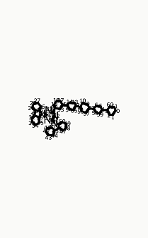 c1ccc(-c2ccc(-c3ccc(-c4ccc(-c5cccc(-c6nc(-n7c8ccccc8c8ccccc87)nc(-n7c8ccccc8c8ccccc87)n6)c5)cc4)cc3)cc2)cc1